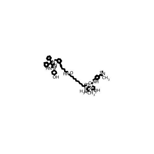 Cc1ncsc1-c1ccc(CNC(=O)[C@@H]2C[C@@H](O)CN2C(=O)[C@@H](NC(=O)CCCCCCCCCC(=O)NCCCCC#Cc2cccc(Cn3c(-c4ccccc4)c(-c4ccccc4)c4c(=N)n(C5CCC(O)CC5)cnc43)c2)C(C)(C)C)cc1